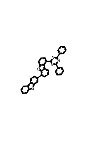 c1ccc(-c2nc(-c3ccccc3)nc(-c3cccc4oc5c(-c6ccc7c(c6)sc6ccccc67)cccc5c34)n2)cc1